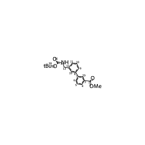 COC(=O)c1cccc(-c2cccc(CNC(=O)OC(C)(C)C)c2)c1